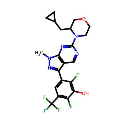 Cn1nc(-c2cc(C(F)(F)F)c(F)c(O)c2F)c2cnc(N3CCOCC3CC3CC3)nc21